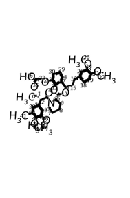 CC[C@H](C(=O)N1CCCC[C@H]1C(=O)O[C@H](CCc1ccc(OC)c(OC)c1)c1cccc(OCC(=O)O)c1)c1cc(C)c(OC)c(OC)c1